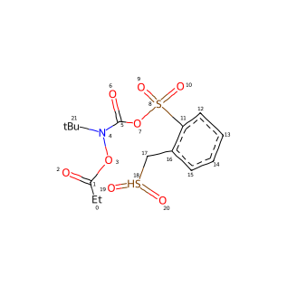 CCC(=O)ON(C(=O)OS(=O)(=O)c1ccccc1C[SH](=O)=O)C(C)(C)C